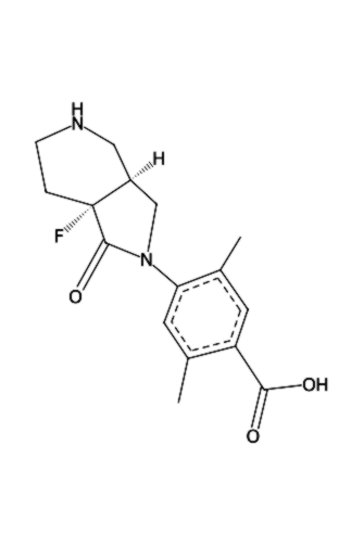 Cc1cc(N2C[C@@H]3CNCC[C@]3(F)C2=O)c(C)cc1C(=O)O